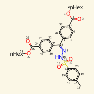 CCCCCCOC(=O)c1ccc(C(=NNS(=O)(=O)c2ccc(C)cc2)c2ccc(C(=O)OCCCCCC)cc2)cc1